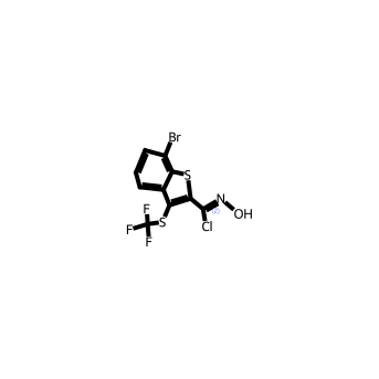 O/N=C(\Cl)c1sc2c(Br)cccc2c1SC(F)(F)F